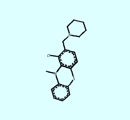 CN1c2ccccc2Sc2ccc(CN3CCCCC3)c(Cl)c21